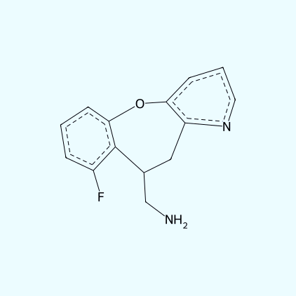 NCC1Cc2ncccc2Oc2cccc(F)c21